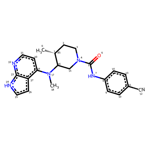 C[C@@H]1CCN(C(=O)Nc2ccc(C#N)cc2)CC1N(C)c1ccnc2[nH]ccc12